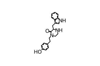 O=C1C(Cc2c[nH]c3ccccc23)NCCN1CCc1ccc(O)cc1